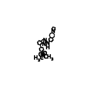 CN(C)S(=O)(=O)c1ccc(-c2cccc3cnc(Nc4ccc5c(c4)CCC(N4CCCC4)CC5)nc23)cc1